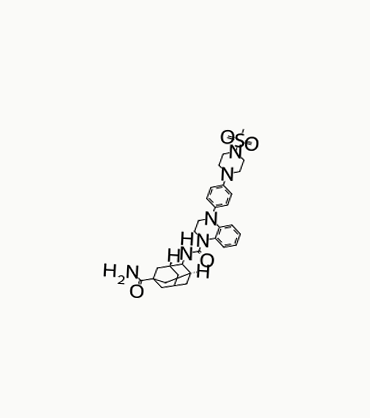 CS(=O)(=O)N1CCN(c2ccc(N3CCN(C(=O)NC4[C@@H]5CC6C[C@H]4CC(C(N)=O)(C6)C5)c4ccccc43)cc2)CC1